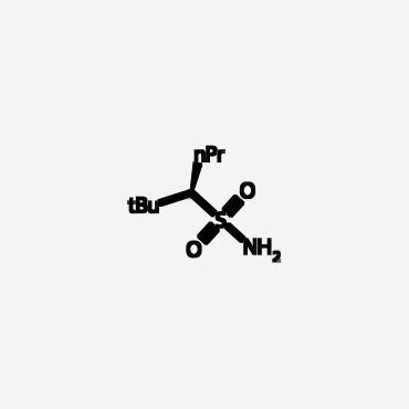 CCC[C@H](C(C)(C)C)S(N)(=O)=O